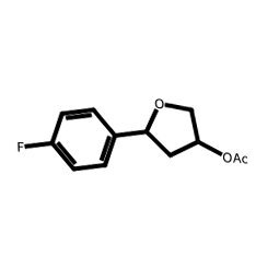 CC(=O)OC1COC(c2ccc(F)cc2)C1